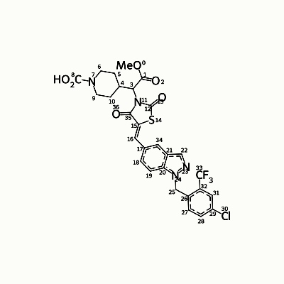 COC(=O)C(C1CCN(C(=O)O)CC1)N1C(=O)SC(=Cc2ccc3c(cnn3Cc3ccc(Cl)cc3C(F)(F)F)c2)C1=O